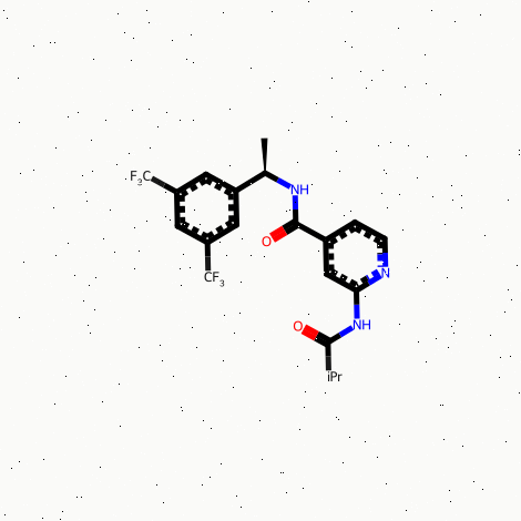 CC(C)C(=O)Nc1cc(C(=O)N[C@H](C)c2cc(C(F)(F)F)cc(C(F)(F)F)c2)ccn1